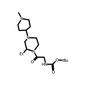 CCC1CN(C2CCN(C)CC2)CCN1C(=O)CNC(=O)OC(C)(C)C